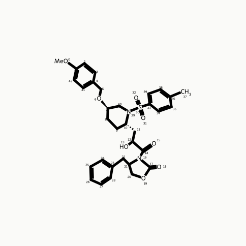 COc1ccc(CO[C@@H]2CC[C@@H](CC(O)C(=O)N3C(=O)OCC3Cc3ccccc3)N(S(=O)(=O)c3ccc(C)cc3)C2)cc1